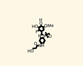 COc1cc(-c2nc3cc(NC(=O)CCO)ccc3n2C2(C)COC2)c(F)c(O)c1O